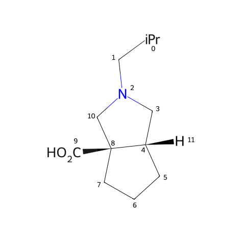 CC(C)CN1C[C@@H]2CCC[C@]2(C(=O)O)C1